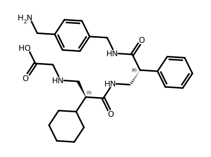 NCc1ccc(CNC(=O)[C@@H](CNC(=O)[C@H](CNCC(=O)O)C2CCCCC2)c2ccccc2)cc1